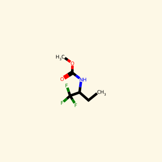 CCC(NC(=O)OC)C(F)(F)F